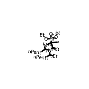 CCCCCC(CC)N(C(=O)C(C)(C)P(=O)(OCC)OCC)C(CC)CCCCC